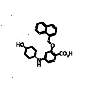 O=C(O)c1ccc(N[C@H]2CC[C@H](O)CC2)cc1OCc1cccc2ccccc12